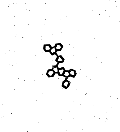 c1ccc(-n2c3ccccc3c3cc4c(-c5cccc(-c6cc7ccccc7c7ccccc67)c5)nc5ccccc5c4cc32)cc1